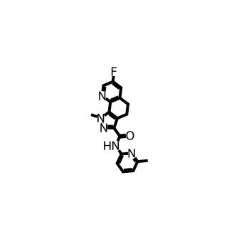 Cc1cccc(NC(=O)c2nn(C)c3c2CCc2cc(F)cnc2-3)n1